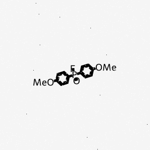 COc1ccc(P(=O)(F)c2ccc(OC)cc2)cc1